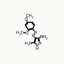 COc1ccc(N=Nc2c(N)n[nH]c2N)c(OC)c1